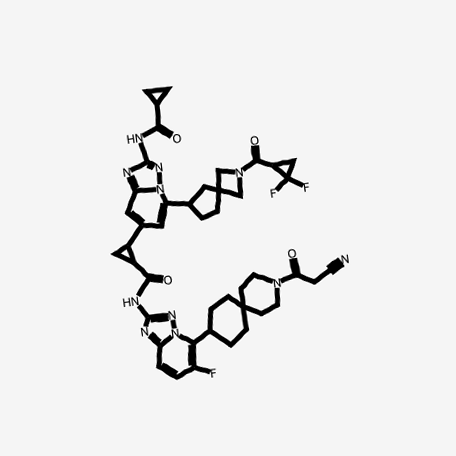 N#CCC(=O)N1CCC2(CCC(c3c(F)ccc4nc(NC(=O)C5CC5c5cc(C6CCC7(C6)CN(C(=O)C6CC6(F)F)C7)n6nc(NC(=O)C7CC7)nc6c5)nn34)CC2)CC1